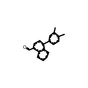 Cc1ccc(-c2ccc(C=O)c3ccccc23)cc1C